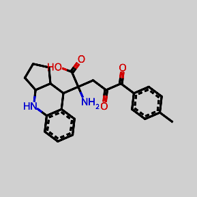 Cc1ccc(C(=O)C(=O)CC(N)(C(=O)O)C2c3ccccc3NC3CCCC32)cc1